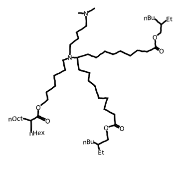 CCCCCCCCC(CCCCCC)C(=O)OCCCCCCN(CCCCN(C)C)C(CCCCCCCCC(=O)OCC(CC)CCCC)CCCCCCCCC(=O)OCC(CC)CCCC